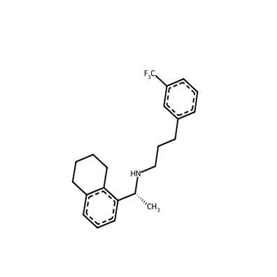 C[C@@H](NCCCc1cccc(C(F)(F)F)c1)c1cccc2c1CCCC2